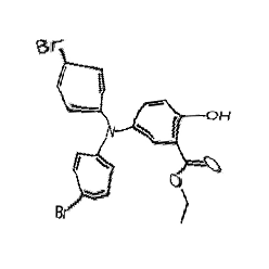 CCOC(=O)c1cc(N(c2ccc(Br)cc2)c2ccc(Br)cc2)ccc1O